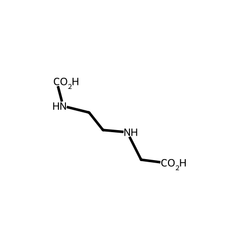 O=C(O)CNCCNC(=O)O